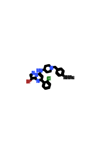 CC(=O)Nc1ccc(CN2CCC(Nc3cc(-c4ccccc4Cl)nc4c(Br)cnn34)CC2)cc1